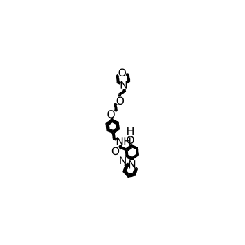 O=C(NCc1ccc(OCCOCCN2CCOCC2)cc1)C1=C(O)CCc2c1nc1ccccn21